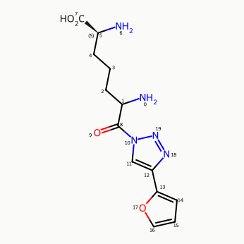 NC(CCC[C@H](N)C(=O)O)C(=O)n1cc(-c2ccco2)nn1